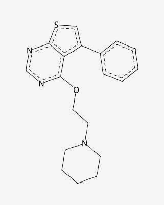 c1ccc(-c2csc3ncnc(OCCN4CCCCC4)c23)cc1